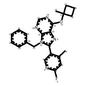 Cc1cc(F)ncc1-c1nc2c(OC3(C)CCC3)ncnc2n1Cc1ccccc1